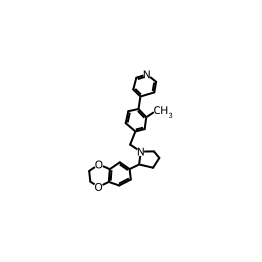 Cc1cc(CN2CCCC2c2ccc3c(c2)OCCO3)ccc1-c1ccncc1